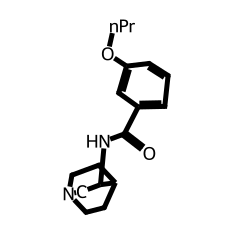 CCCOc1cccc(C(=O)NC2CN3CCC2CC3)c1